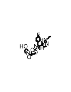 C=CCNc1nccc(-c2[nH]c(C3OCC(C)(C(=O)N4CCC(O)C4)CO3)nc2-c2ccc(F)cc2)n1